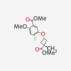 COC(=O)c1cc(O[C@H]2C[C@@](C)(C(=O)OC)C2)c(F)cc1OC